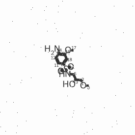 COCC(O)CNS(=O)(=O)c1ccc(N)c(OC)c1